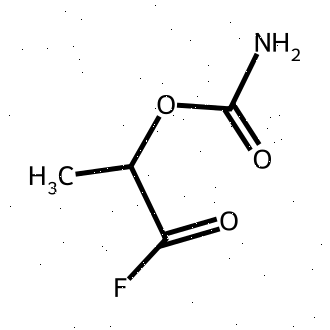 CC(OC(N)=O)C(=O)F